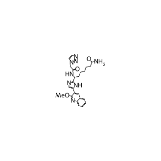 COc1nc2ccccc2cc1-c1cnc([C@H](CCCCCC(N)=O)NC(=O)Cn2ccnn2)[nH]1